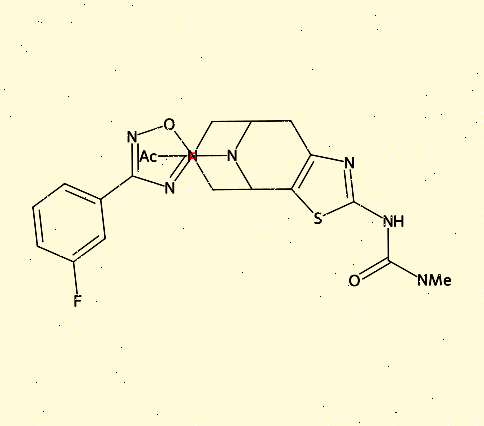 CNC(=O)Nc1nc2c(s1)C1CN(C(C)=O)CC(C2)N1c1nc(-c2cccc(F)c2)no1